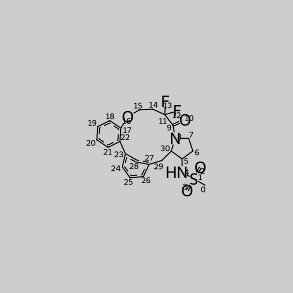 CS(=O)(=O)NC1CCN2C(=O)C(F)(F)CCOc3ccccc3-c3cccc(c3)CC12